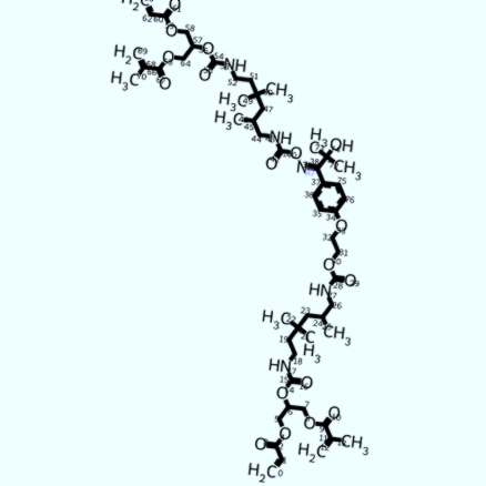 C=CC(=O)OCC(COC(=O)C(=C)C)OC(=O)NCCC(C)(C)CC(C)CNC(=O)OCCOc1ccc(/C(=N/OC(=O)NCC(C)CC(C)(C)CCNC(=O)OC(COC(=O)C=C)COC(=O)C(=C)C)C(C)(C)O)cc1